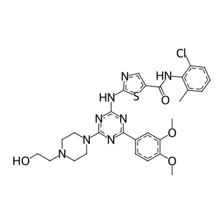 COc1ccc(-c2nc(Nc3ncc(C(=O)Nc4c(C)cccc4Cl)s3)nc(N3CCN(CCO)CC3)n2)cc1OC